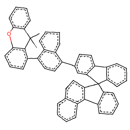 CC1(C)c2ccccc2Oc2cccc(-c3ccc(-c4ccc5c(c4)C4(c6ccccc6-5)c5ccccc5-c5c4ccc4ccccc54)c4ccccc34)c21